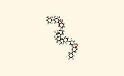 CC1(C)c2cc(-c3ccc4oc5ccc(-c6ccccc6)cc5c4c3)ccc2-c2c1ccc1c2-c2ccc(-c3ccc4oc5ccc(-c6ccccc6)cc5c4c3)cc2C1(C)C